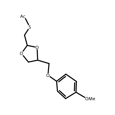 COc1ccc(OCC2COC(CSC(C)=O)O2)cc1